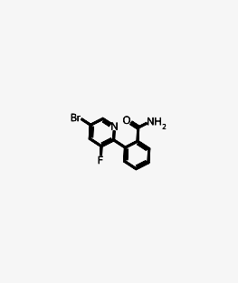 NC(=O)c1ccccc1-c1ncc(Br)cc1F